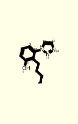 CCCCc1c(O)cccc1-n1ccnn1